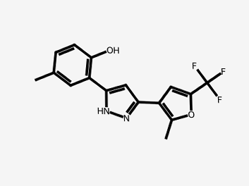 Cc1ccc(O)c(-c2cc(-c3cc(C(F)(F)F)oc3C)n[nH]2)c1